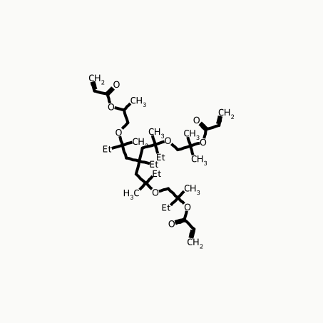 C=CC(=O)OC(C)COC(C)(CC)CC(CC)(CC(C)(CC)OCC(C)(C)OC(=O)C=C)CC(C)(CC)OCC(C)(CC)OC(=O)C=C